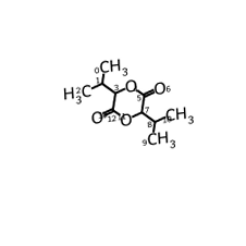 CC(C)C1OC(=O)C(C(C)C)OC1=O